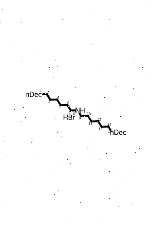 Br.CCCCCCCCCCCCCCCCNCCCCCCCCCCCCCCCC